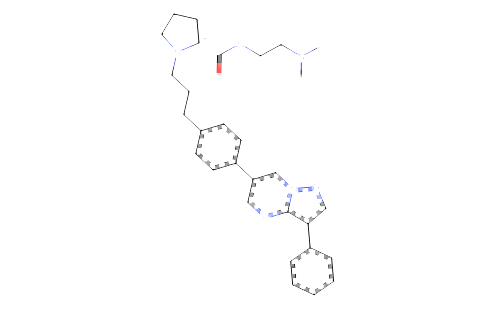 CN(C)CCNC(=O)[C@H]1CCCN1CCCc1ccc(-c2cnc3c(-c4ccccc4)cnn3c2)cc1